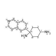 NC1CCC(N)(c2ccc3cnccc3c2)CC1